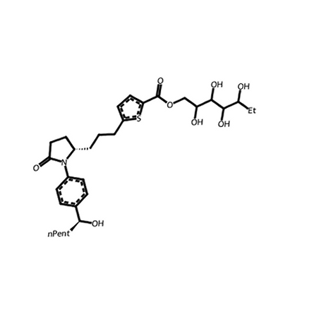 CCCCC[C@H](O)c1ccc(N2C(=O)CC[C@@H]2CCCc2ccc(C(=O)OCC(O)C(O)C(O)C(O)CC)s2)cc1